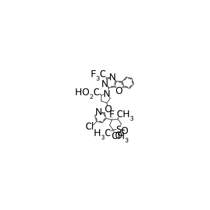 C[C@H]1CS(=O)(=O)C(C)(C)C[C@@]1(F)c1cc(Cl)cnc1O[C@H]1C[C@@H](C(=O)O)N(c2nc(C(F)(F)F)nc3c2oc2ccccc23)C1